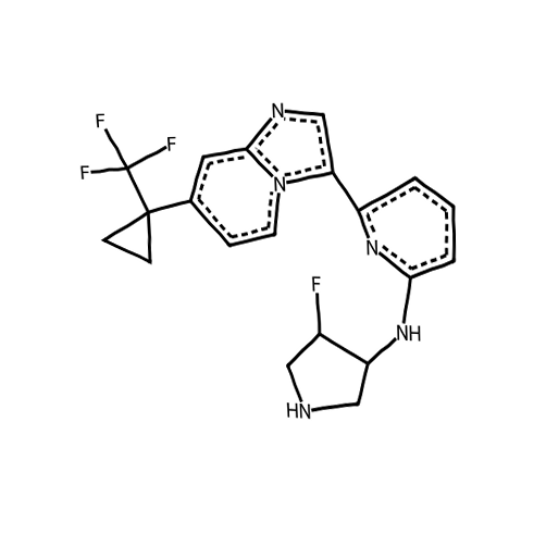 FC1CNCC1Nc1cccc(-c2cnc3cc(C4(C(F)(F)F)CC4)ccn23)n1